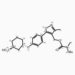 CCCCN(C)C(=O)OCc1c(C)noc1-c1ccc(O[C@H]2CCC[C@H](C(=O)O)C2)cc1